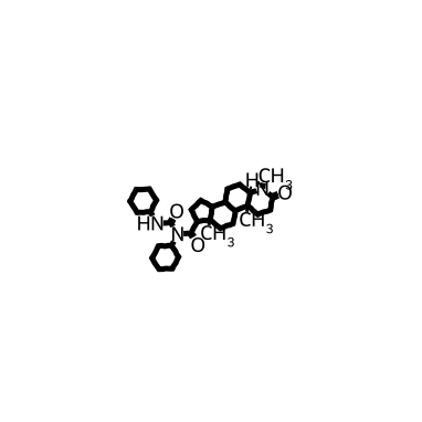 CN1C(=O)CC[C@]2(C)C3CC[C@]4(C)C(C(=O)N(C(=O)NC5CCCCC5)C5CCCCC5)CCC4C3CC[C@@H]12